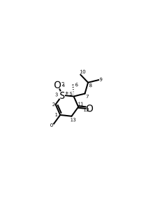 CC1=C[S+]([O-])[C@@](C)(CC(C)C)C(=O)C1